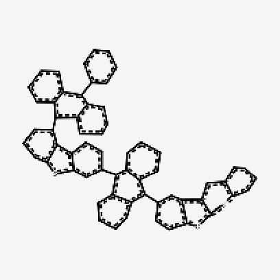 c1ccc(-c2c3ccccc3c(-c3cccc4sc5cc(-c6c7ccccc7c(-c7ccc8oc9cc%10ccccc%10cc9c8c7)c7ccccc67)ccc5c34)c3ccccc23)cc1